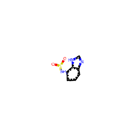 N[SH](=O)=O.c1ccc2[nH]cnc2c1